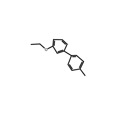 CCOc1cc[c]c(-c2ccc(C)cc2)c1